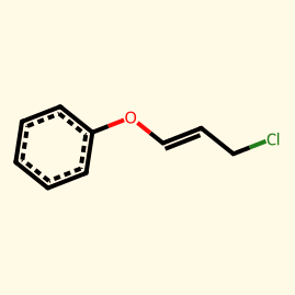 ClCC=COc1ccccc1